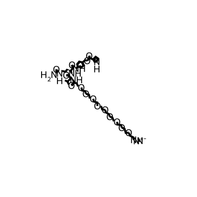 CC(C)[C@H](NC(=O)CCOCCOCCOCCOCCOCCOCCOCCOCCOCCN=[N+]=[N-])C(=O)N[C@@H](CCCNC(N)=O)C(=O)Nc1ccc(COC(=O)c2cc[nH]c2)cc1